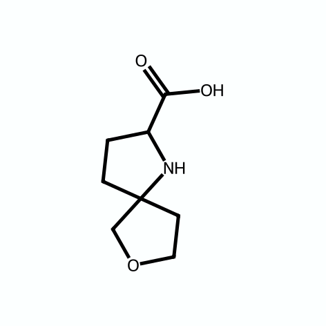 O=C(O)C1CCC2(CCOC2)N1